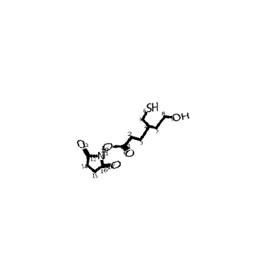 O=C(CCC(CS)CCO)ON1C(=O)CCC1=O